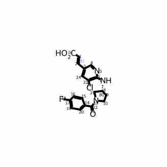 O=C(O)/C=C/c1cnc(N[C@@H]2CCN(C(=O)c3ccc(F)cc3)C2)c(Cl)c1